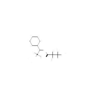 O=C(O)C(F)(F)C(OC(=O)C(F)(F)C(F)(F)C(F)(F)F)C1CCCCC1